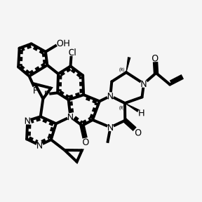 C=CC(=O)N1C[C@@H]2C(=O)N(C)c3c(c4cc(Cl)c(-c5c(O)cccc5F)c(F)c4n(-c4c(C5CC5)ncnc4C4CC4)c3=O)N2C[C@H]1C